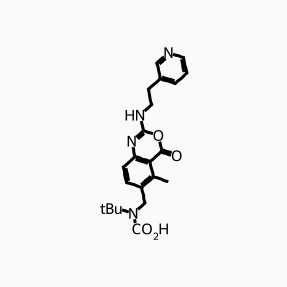 Cc1c(CN(C(=O)O)C(C)(C)C)ccc2nc(NCCc3cccnc3)oc(=O)c12